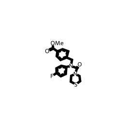 COC(=O)c1ccc(CN(C(=O)N2CCSCC2)c2ccc(F)cc2)cc1